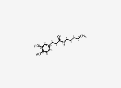 CCCCCNC(=O)CCc1ccc(O)c(O)c1